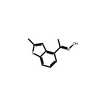 C/C(=N\O)c1cccc2sc(C)cc12